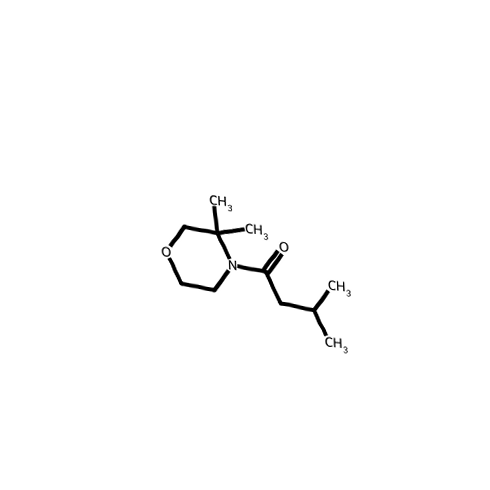 CC(C)CC(=O)N1CCOCC1(C)C